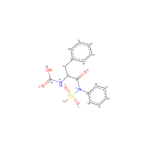 CS(=O)(=O)N(C(=O)C(Cc1ccccc1)NC(=O)O)c1ccccc1